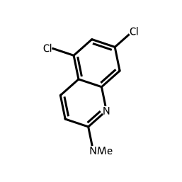 CNc1ccc2c(Cl)cc(Cl)cc2n1